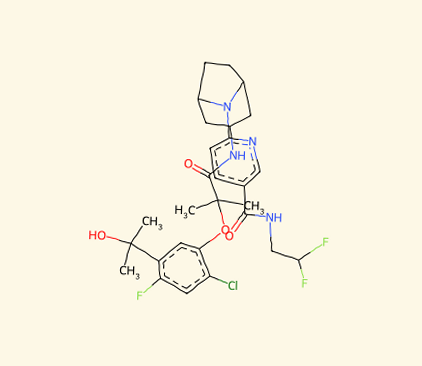 CC(C)(Oc1cc(C(C)(C)O)c(F)cc1Cl)C(=O)NC1CC2CCC(C1)N2c1ccc(C(=O)NCC(F)F)cn1